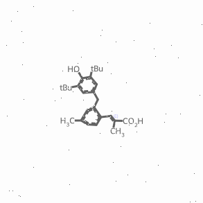 C/C(=C\c1ccc(C)cc1Cc1cc(C(C)(C)C)c(O)c(C(C)(C)C)c1)C(=O)O